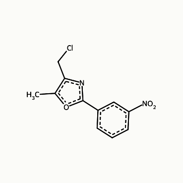 Cc1oc(-c2cccc([N+](=O)[O-])c2)nc1CCl